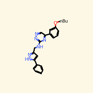 CCCCOc1cccc(-c2cnnc(NCc3cc(-c4ccccc4)[nH]n3)n2)c1